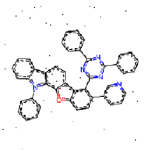 c1ccc(-c2nc(-c3ccccc3)nc(-c3c(-c4cccnc4)ccc4oc5c(ccc6c7ccccc7n(-c7ccccc7)c65)c34)n2)cc1